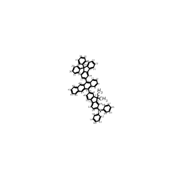 CC1(C)c2cc(-c3c4ccccc4c(-c4ccc5c(c4)-c4ccccc4C5(c4ccccc4)c4ccccc4)c4cc5ccccc5cc34)ccc2-c2ccc(N(c3ccccc3)c3ccccc3)cc21